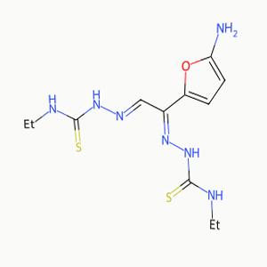 CCNC(=S)N/N=C(/C=N/NC(=S)NCC)c1ccc(N)o1